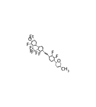 CCOc1ccc2c(c1F)C(F)(F)C(F)(F)c1c-2ccc(C#Cc2ccc(C3CC=C(C)CO3)c(F)c2F)c1F